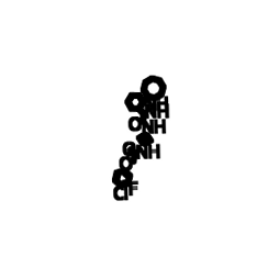 O=C(COc1ccc(Cl)c(F)c1)NC12CC(NC(=O)C3NNC4(C5CCCCCCC5)CCCCC34)(C1)C2